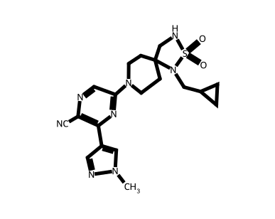 Cn1cc(-c2nc(N3CCC4(CC3)CNS(=O)(=O)N4CC3CC3)cnc2C#N)cn1